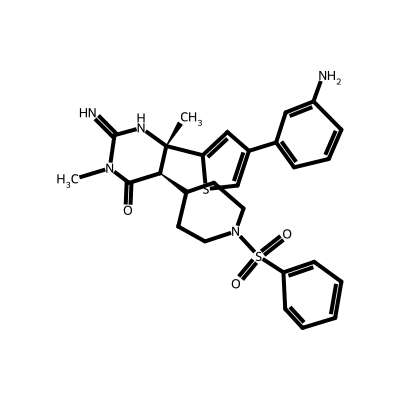 CN1C(=N)N[C@](C)(c2cc(-c3cccc(N)c3)cs2)[C@@H](C2CCN(S(=O)(=O)c3ccccc3)CC2)C1=O